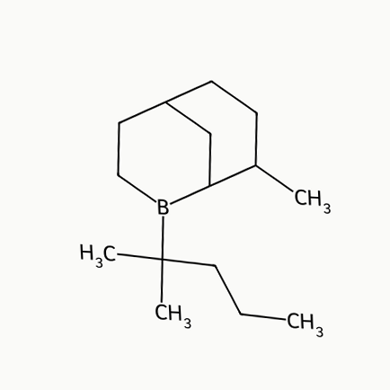 CCCC(C)(C)B1CCC2CCC(C)C1C2